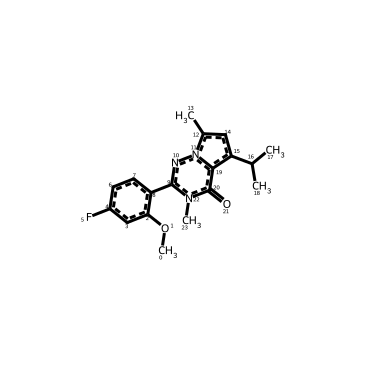 COc1cc(F)ccc1-c1nn2c(C)cc(C(C)C)c2c(=O)n1C